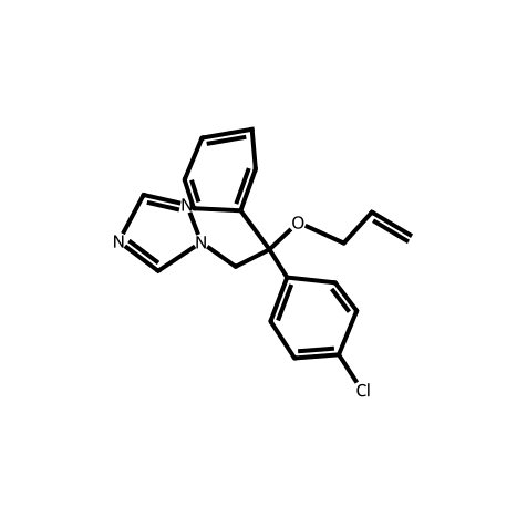 C=CCOC(Cn1cncn1)(c1ccccc1)c1ccc(Cl)cc1